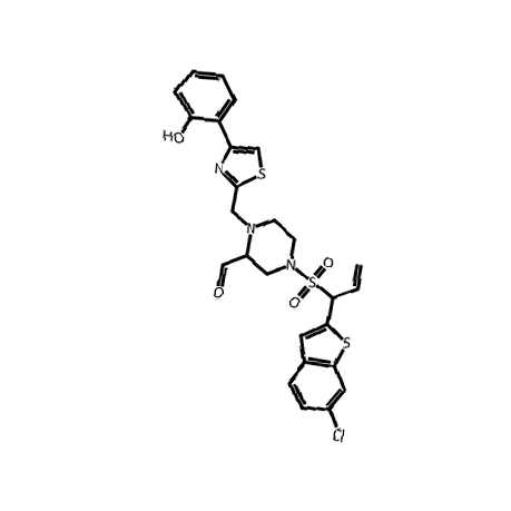 C=CC(c1cc2ccc(Cl)cc2s1)S(=O)(=O)N1CCN(Cc2nc(-c3ccccc3O)cs2)C(C=O)C1